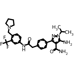 CC(C)n1nc(-c2ccc(CC(=O)Nc3ccc(CN4CCCC4)c(C(F)(F)F)c3)cc2)c(C(N)=O)c1N